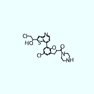 O=C(C1Cc2cc(Cl)cc(-c3ccnc4cc(C(O)CCl)sc34)c2O1)N1CCNCC1